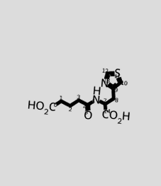 O=C(O)CCCC(=O)NC(Cc1cscn1)C(=O)O